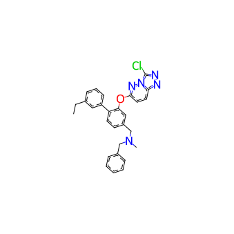 CCc1cccc(-c2ccc(CN(C)Cc3ccccc3)cc2Oc2ccc3nnc(Cl)n3n2)c1